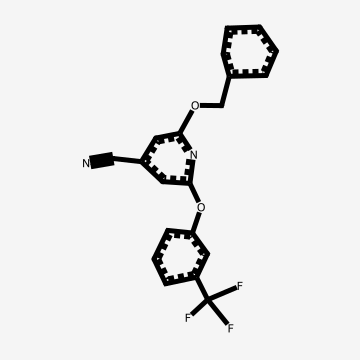 N#Cc1cc(OCc2ccccc2)nc(Oc2cccc(C(F)(F)F)c2)c1